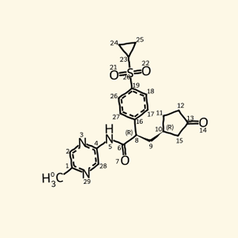 Cc1cnc(NC(=O)[C@H](C[C@H]2CCC(=O)C2)c2ccc(S(=O)(=O)C3CC3)cc2)cn1